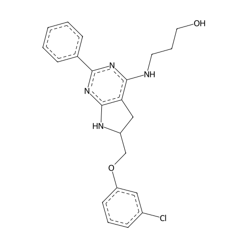 OCCCNc1nc(-c2ccccc2)nc2c1CC(COc1cccc(Cl)c1)N2